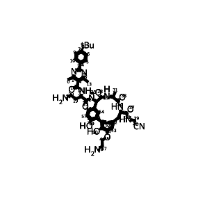 Cc1nc(-c2ccc(C(C)(C)C)cc2)nc(C)c1C(=O)NC(CCN)C(=O)N(C)C1C(=O)NC(C)C(=O)NC(C(=O)NCC#N)Cc2cc(OCCN)c(O)c(c2)-c2cc1ccc2O